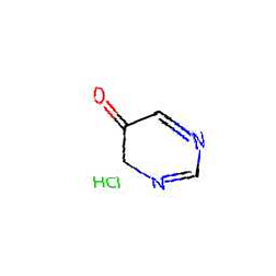 Cl.O=C1C=NC=NC1